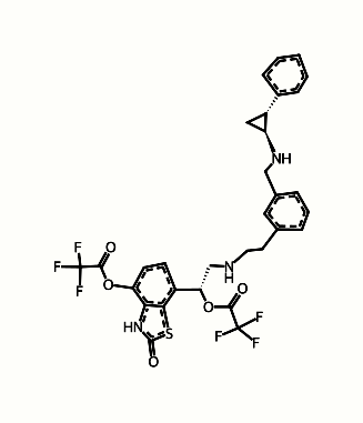 O=C(Oc1ccc([C@H](CNCCc2cccc(CN[C@H]3C[C@@H]3c3ccccc3)c2)OC(=O)C(F)(F)F)c2sc(=O)[nH]c12)C(F)(F)F